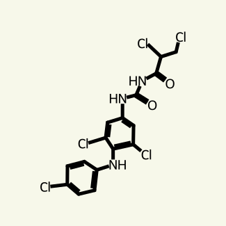 O=C(NC(=O)C(Cl)CCl)Nc1cc(Cl)c(Nc2ccc(Cl)cc2)c(Cl)c1